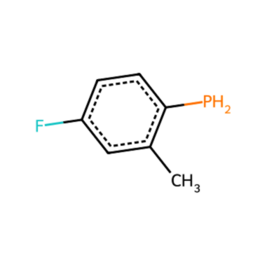 Cc1cc(F)ccc1P